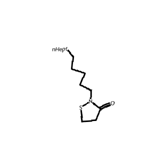 CCCCCCCCCCCCN1SCCC1=O